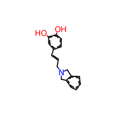 Oc1ccc(C=CCN2Cc3ccccc3C2)cc1O